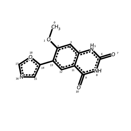 COc1cc2[nH]c(=O)[nH]c(=O)c2cc1-c1cnco1